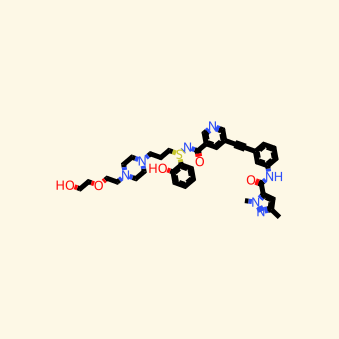 Cc1cc(C(=O)Nc2cccc(C#Cc3cncc(C(=O)N=S(CCCN4CCN(CCOCCO)CC4)c4ccccc4O)c3)c2)n(C)n1